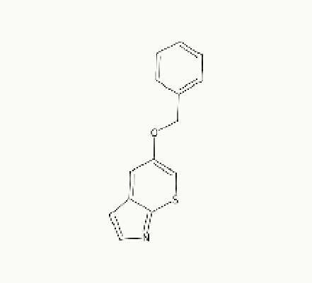 c1ccc(COc2csc3nccc-3c2)cc1